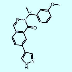 COc1cccc([C@H](C)n2ncc3ccc(-c4cn[nH]c4)cc3c2=O)c1